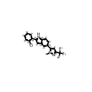 Cn1nc(C(F)(F)F)cc1-c1ccc2[nH]c(-c3ccccc3Cl)cc2c1